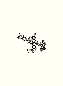 NC(=O)c1cc(-c2cc3sc(N4CCC5(CC4)CNC(=O)O5)nc3nc2[C@H](Cc2cc(F)cc(F)c2)NC(=O)Cn2nc(C(F)(F)F)c3c2C(F)(F)[C@@H]2C=C[C@H]32)ccc1F